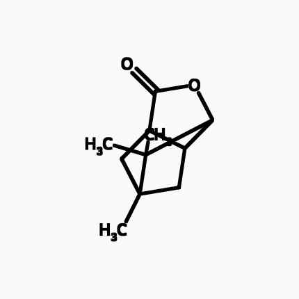 CC12CC3C(=O)OC(C3C1)C2(C)C